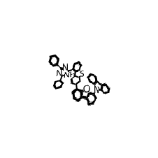 C1=CC2c3c(cccc3C3N=C(c4ccccc4)N=C(c4ccccc4)N3)SC2C=C1c1cccc2c1oc1c(-n3c4ccccc4c4ccccc43)cccc12